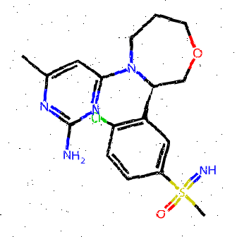 Cc1cc(N2CCCOC[C@H]2c2cc(S(C)(=N)=O)ccc2Cl)nc(N)n1